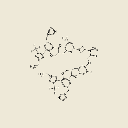 CCn1cc(-c2cc(Cn3ccnc3)cc3c2OC[C@H](Cc2ccc(F)c(OCC(=O)N(C)C4CN(c5cc(C)cc(C[C@@H]6COc7c(cc(Cn8ccnc8)cc7-c7cn(CC)nc7C(F)(F)F)C6=O)n5)C4)c2)C3=O)c(C(F)(F)F)n1